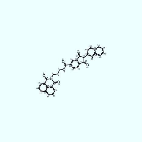 O=C(OCCCN1C(=O)c2cccc3cccc(c23)C1=O)c1ccc2c(c1)C(=O)C(c1ccc3ccccc3n1)C2=O